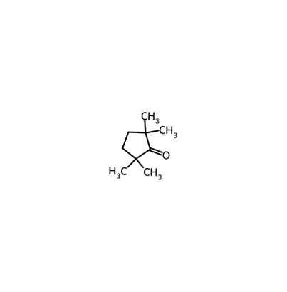 CC1(C)CCC(C)(C)C1=O